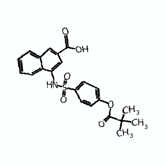 CC(C)(C)C(=O)Oc1ccc(S(=O)(=O)Nc2cc(C(=O)O)cc3ccccc23)cc1